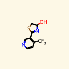 OC1CSC(c2cnccc2C(F)(F)F)=N1